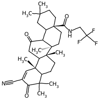 CC1(C)CC[C@]2(C(=O)NCC(F)(F)F)CC[C@]3(C)C(C(=O)CC4[C@@]5(C)C=C(C#N)C(=O)C(C)(C)C5CC[C@]43C)C2C1